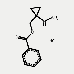 CNC1(COC(=O)c2ccccc2)CC1.Cl